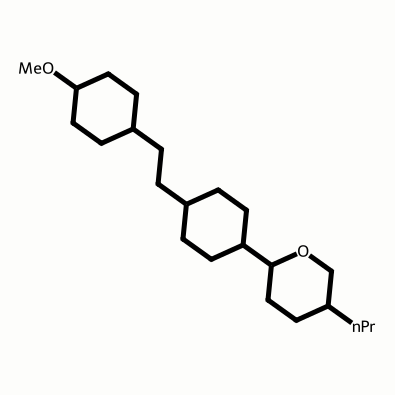 CCCC1CCC(C2CCC(CCC3CCC(OC)CC3)CC2)OC1